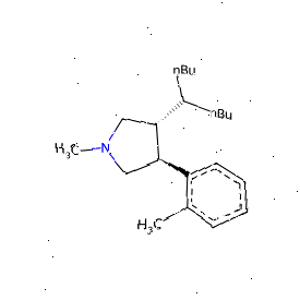 CCCCC(CCCC)[C@H]1CN(C)C[C@@H]1c1ccccc1C